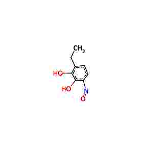 CCc1ccc(N=O)c(O)c1O